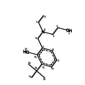 CCN(CCO)Cc1cccc(C(C)(C)C)c1O